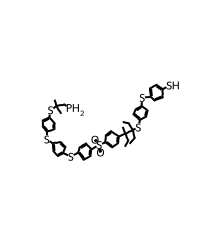 CCC(CC)(Sc1ccc(Sc2ccc(S)cc2)cc1)C(C)(CC)c1ccc(S(=O)(=O)c2ccc(Sc3ccc(Sc4ccc(SC(C)(C)CP)cc4)cc3)cc2)cc1